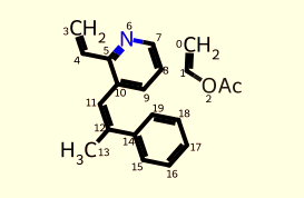 C=COC(C)=O.C=Cc1ncccc1C=C(C)c1ccccc1